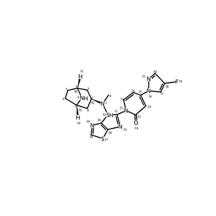 CN([C@@H]1C[C@H]2CC[C@@H](C1)N2)[SH]1C(n2ccc(-n3cc(F)cn3)cc2=O)=Nc2scnc21